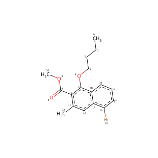 CCCCOc1c(C(=O)OC)c(C)cc2c(Br)cccc12